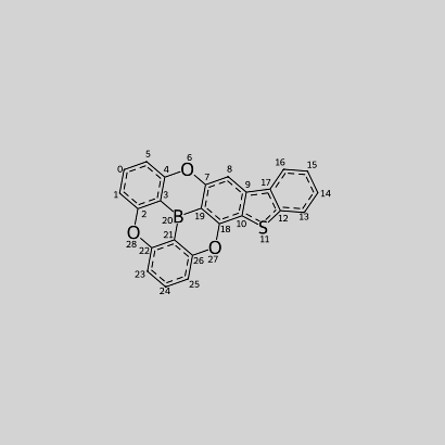 c1cc2c3c(c1)Oc1cc4c(sc5ccccc54)c4c1B3c1c(cccc1O4)O2